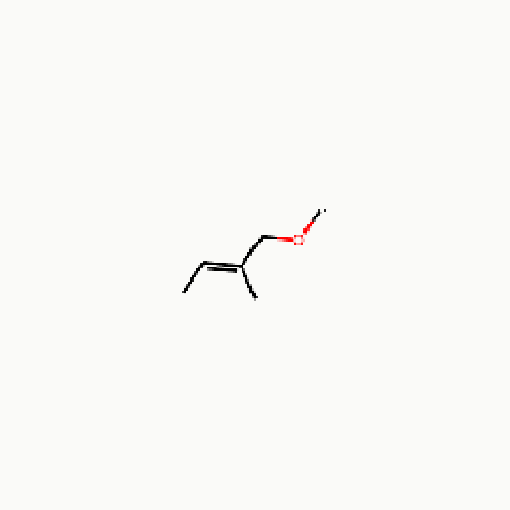 [CH2]OC/C(C)=C/C